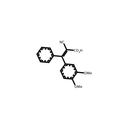 COc1ccc(/C(=C(/C#N)C(=O)O)c2ccccc2)cc1OC